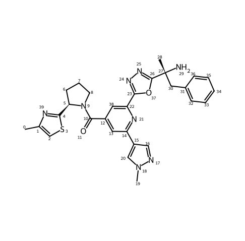 Cc1csc([C@H]2CCCN2C(=O)c2cc(-c3cnn(C)c3)nc(-c3nnc([C@](C)(N)Cc4ccccc4)o3)c2)n1